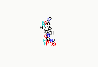 Cc1c(-c2ccc(CN3CCCC3)c(OC(F)(F)F)c2)cccc1-c1cccc(-c2nc3cc(CN4CCC[C@H]4C(=O)O)c(OC(F)F)cc3o2)c1C